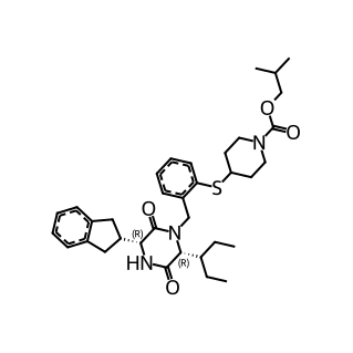 CCC(CC)[C@@H]1C(=O)N[C@H](C2Cc3ccccc3C2)C(=O)N1Cc1ccccc1SC1CCN(C(=O)OCC(C)C)CC1